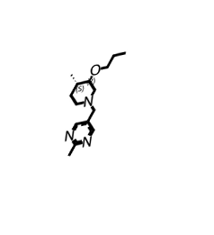 CCCO[C@H]1CN(Cc2cnc(C)nc2)CC[C@@H]1C